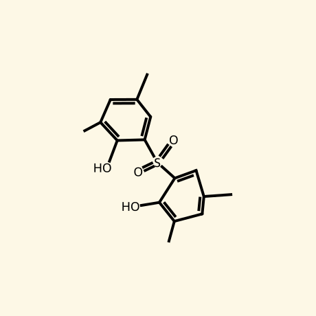 Cc1cc(C)c(O)c(S(=O)(=O)c2cc(C)cc(C)c2O)c1